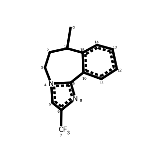 CC1CCn2cc(C(F)(F)F)nc2-c2ccccc21